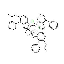 CCCc1ccc2c(c1-c1ccccc1)C=C(C(C)(C)C)[CH]2[Zr]([Cl])([Cl])([c]1cccc2c1[SiH2]c1ccccc1-2)[CH]1C(C(C)(C)C)=Cc2c1ccc(CCC)c2-c1ccccc1